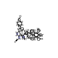 C#C/C=C(\C=C/CCC(=O)N1CCN(CC)CC1)N/C(=N/C)c1scc(C(=O)Nc2c(Cl)c(OC)c(Br)c(OC)c2Cl)c1N=C